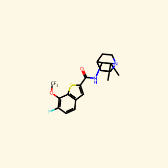 CC1(C)C(NC(=O)c2cc3ccc(F)c(OC(F)(F)F)c3s2)C2CCN1CC2